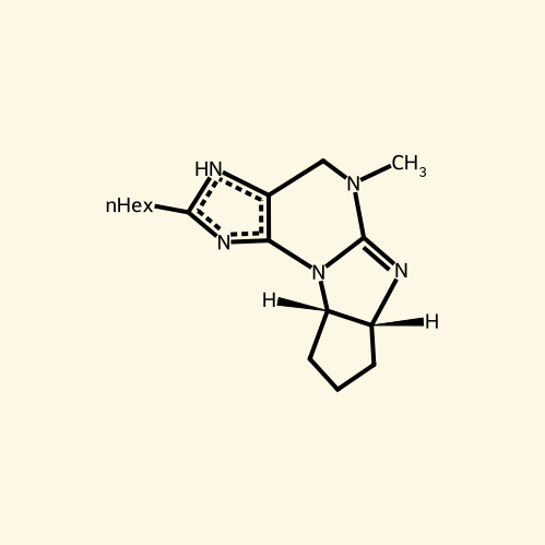 CCCCCCc1nc2c([nH]1)CN(C)C1=N[C@@H]3CCC[C@@H]3N12